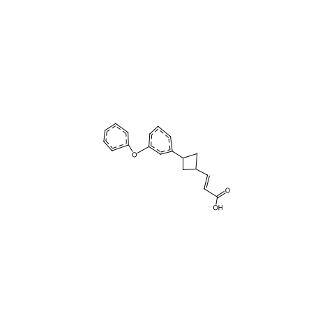 O=C(O)C=CC1CC(c2cccc(Oc3ccccc3)c2)C1